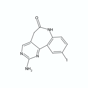 Nc1ncc2c(n1)-c1cc(I)ccc1NC(=O)C2